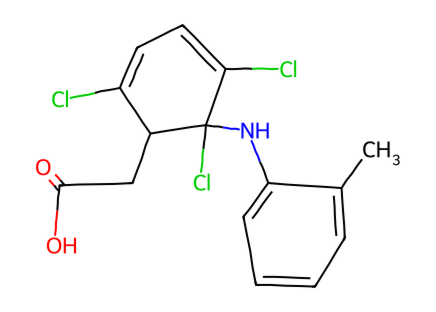 Cc1ccccc1NC1(Cl)C(Cl)=CC=C(Cl)C1CC(=O)O